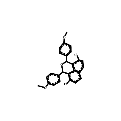 COc1ccc(C(OC(c2ccc(OC)cc2)c2ccccc2Cl)c2ccccc2Cl)cc1